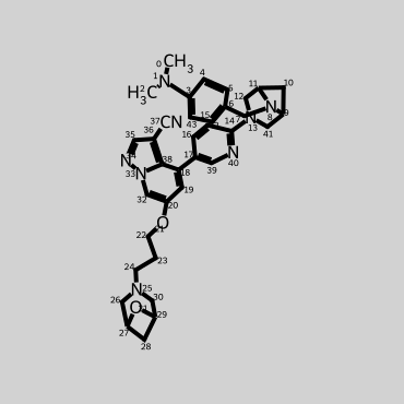 CN(C)c1ccc(CN2C3CC2CN(c2ccc(-c4cc(OCCCN5CC6CC(C5)O6)cn5ncc(C#N)c45)cn2)C3)cc1